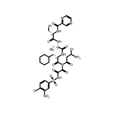 CCC(N)CC(=O)N(C(=O)C(=O)NS(=O)(=O)c1ccc(Cl)c([N+](=O)[O-])c1)C(=O)[C@H](CC1CCCCC1)NC(=O)[C@@H](NC(=O)[C@H](CC(C)C)NC(=O)c1cnccn1)[C@@H](C)CC